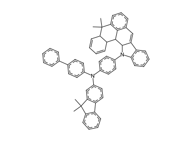 CC1(C)c2ccccc2-c2ccc(N(c3ccc(-c4ccccc4)cc3)c3ccc(N4c5ccccc5C5=Cc6cccc7c6C(C6C=CC=CC6C7(C)C)C54)cc3)cc21